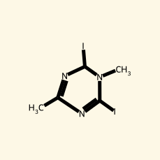 CC1=NC(I)N(C)C(I)=N1